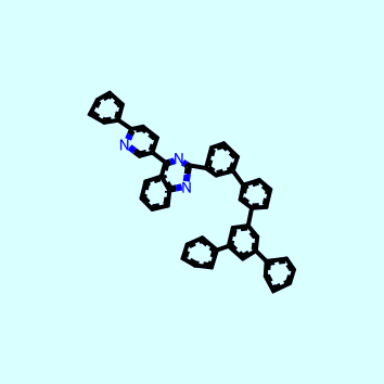 c1ccc(-c2cc(-c3ccccc3)cc(-c3cccc(-c4cccc(-c5nc(-c6ccc(-c7ccccc7)nc6)c6ccccc6n5)c4)c3)c2)cc1